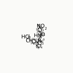 C[C@@H]1Cc2ccsc2[C@@H](c2ccc(Cl)cc2)N1CCNC(=O)c1ccc([N+](=O)[O-])cc1.Cl